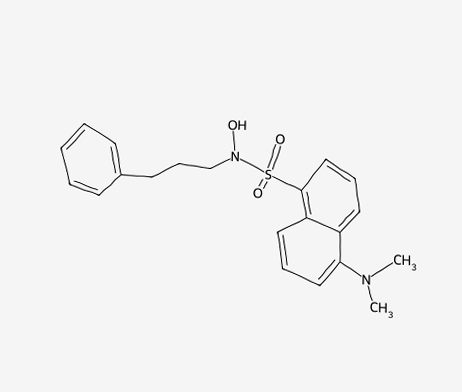 CN(C)c1cccc2c(S(=O)(=O)N(O)CCCc3ccccc3)cccc12